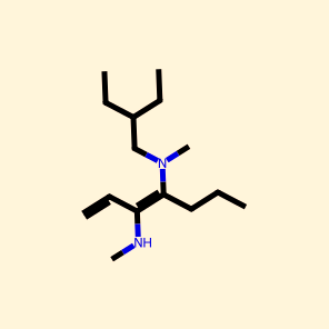 C=C/C(NC)=C(/CCC)N(C)CC(CC)CC